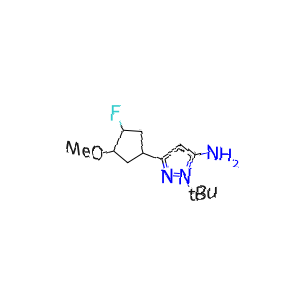 COC1CC(c2cc(N)n(C(C)(C)C)n2)CC1F